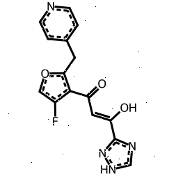 O=C(C=C(O)c1nc[nH]n1)c1c(F)coc1Cc1ccncc1